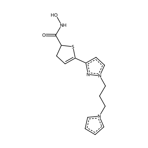 O=C(NO)C1CC=C(c2ccn(CCCn3cccc3)n2)S1